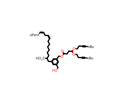 CCCCC#CCCOC(CCC(=O)OCc1cc(CO)cc(CC(CCCCCC/C=C\C/C=C\CCCCC)C(=O)O)c1)OCCC#CCCCC